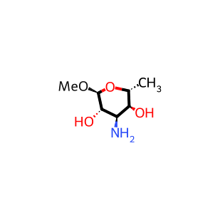 CO[C@H]1O[C@H](C)[C@@H](O)[C@@H](N)[C@@H]1O